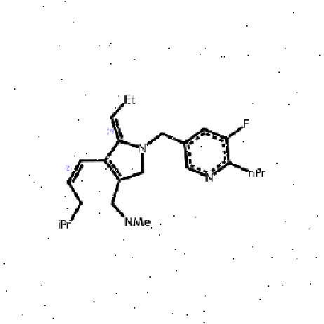 CC/C=C1/C(/C=C\CC(C)C)=C(CNC)CN1Cc1cnc(CCC)c(F)c1